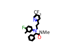 CNC(=O)[C@H](c1ccccc1)N(CCCc1ccc(C(F)(F)F)cn1)c1ccc(F)c(C)c1